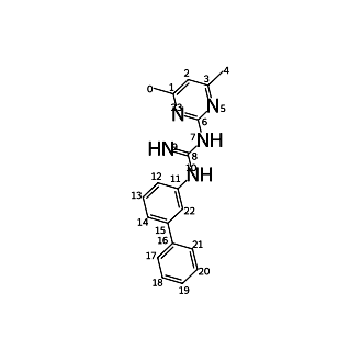 Cc1cc(C)nc(NC(=N)Nc2cccc(-c3ccccc3)c2)n1